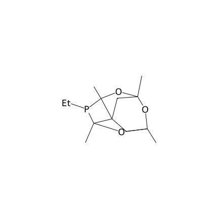 CCP1C2(C)OC3(C)CC24CC(C)(O3)OC14C